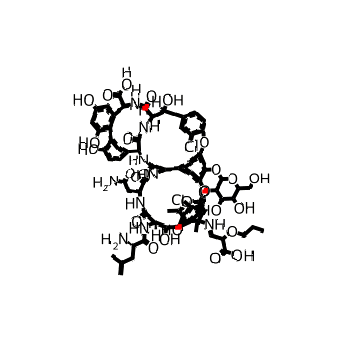 CCCOC(CNC1(C)CC(OC2C(Oc3c4cc5cc3Oc3ccc(cc3Cl)[C@@H](O)[C@@H]3NC(=O)C(NC(=O)C5NC(=O)C(CC(N)=O)NC(=O)[C@@H](NC(=O)[C@H](N)CC(C)C)C(O)c5ccc(c(Cl)c5)O4)c4ccc(O)c(c4)-c4c(O)cc(O)cc4C(C(=O)O)NC3=O)OC(CO)C(O)C2O)OC(C)C1O)C(=O)O